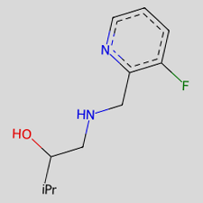 CC(C)C(O)CNCc1ncccc1F